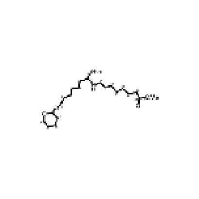 CCCCCCCCCC(CCCCCCOC1CCCCO1)NCCCCCCCC(=O)OC